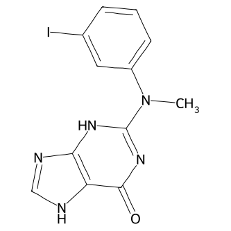 CN(c1cccc(I)c1)c1nc(=O)c2[nH]cnc2[nH]1